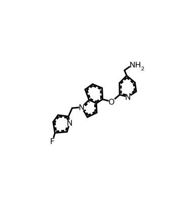 NCc1ccnc(Oc2cccc3c2ccn3Cc2ccc(F)cn2)c1